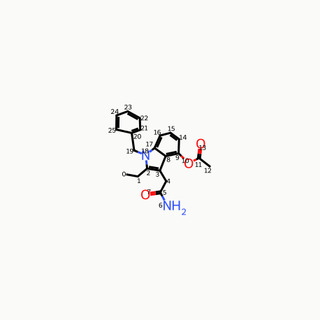 CCc1c(CC(N)=O)c2c(OC(C)=O)cccc2n1Cc1ccccc1